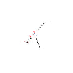 CCCCCCCCCCCCCCCCCCOC(=O)C(COC(=O)C(C)(C)C(C)(C)OC(C)(C)CCO)NC(=O)CCCCCCCCCCCCCCCCC